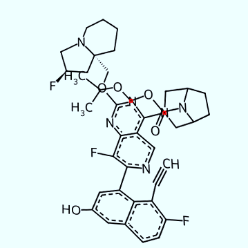 C#Cc1c(F)ccc2cc(O)cc(-c3ncc4c(N5CC6CCC(C5)N6C(=O)OCOC(C)C)nc(OC[C@@]56CCCCN5C[C@H](F)C6)nc4c3F)c12